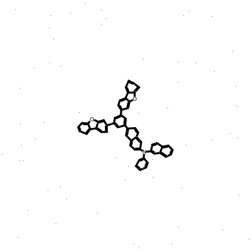 c1ccc(N(c2ccc3ccccc3c2)c2ccc3cc(-c4cc(-c5ccc6c(c5)oc5ccccc56)cc(-c5ccc6c(c5)oc5ccccc56)c4)ccc3c2)cc1